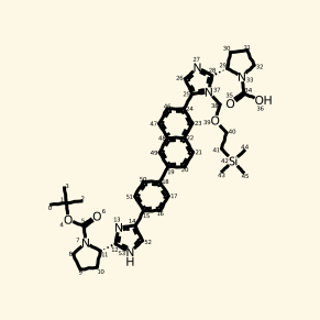 CC(C)(C)OC(=O)N1CCC[C@H]1c1nc(-c2ccc(-c3ccc4cc(-c5cnc([C@@H]6CCCN6C(=O)O)n5COCC[Si](C)(C)C)ccc4c3)cc2)c[nH]1